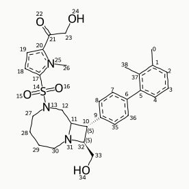 Cc1cccc(-c2ccc([C@H]3C4CN(S(=O)(=O)c5ccc(C(=O)CO)n5C)CCCCN4[C@@H]3CO)cc2)c1C